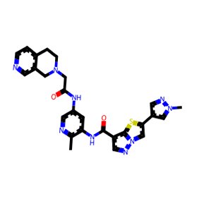 Cc1ncc(NC(=O)CN2CCc3ccncc3C2)cc1NC(=O)c1cnn2cc(-c3cnn(C)c3)sc12